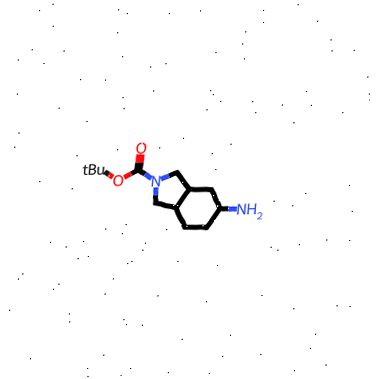 CC(C)(C)OC(=O)N1CC2CCC(N)CC2C1